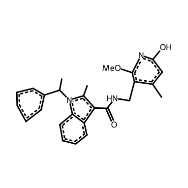 COc1nc(O)cc(C)c1CNC(=O)c1c(C)n(C(C)c2ccccc2)c2ccccc12